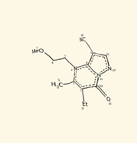 CCc1c(C)n(CCOC)c2c(C#N)cnn2c1=O